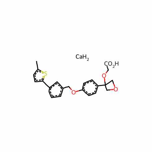 Cc1ccc(-c2cccc(COc3ccc(C4(OCC(=O)O)COC4)cc3)c2)s1.[CaH2]